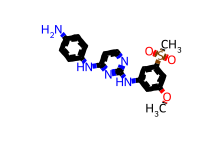 COc1cc(Nc2nccc(Nc3ccc(N)cc3)n2)cc(S(C)(=O)=O)c1